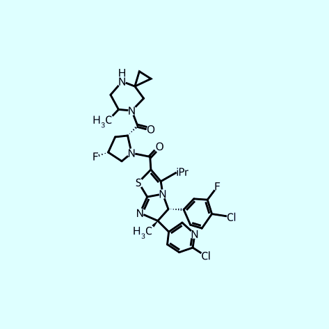 CC(C)C1=C(C(=O)N2C[C@H](F)C[C@@H]2C(=O)N2CC3(CC3)NCC2C)SC2=N[C@@](C)(c3ccc(Cl)nc3)[C@@H](c3ccc(Cl)c(F)c3)N21